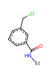 CCNC(=O)c1cccc(CCl)c1